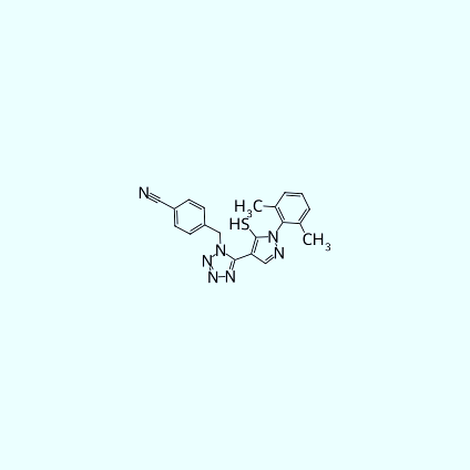 Cc1cccc(C)c1-n1ncc(-c2nnnn2Cc2ccc(C#N)cc2)c1S